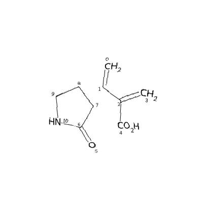 C=CC(=C)C(=O)O.O=C1CCCN1